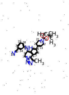 Cc1nnn2c1-c1ccc(C3=CCN(C(=O)OC(C)(C)C)CC3)cc1C(Nc1cccc(C#N)c1)CC2